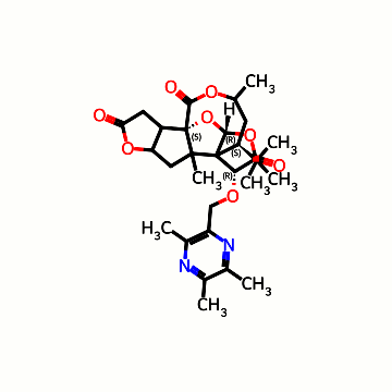 Cc1nc(C)c(CO[C@H]2C(=O)O[C@H]3O[C@]45C(=O)OC(C)C[C@@H](C(C)(C)C)C32C4(C)CC2OC(=O)CC25)nc1C